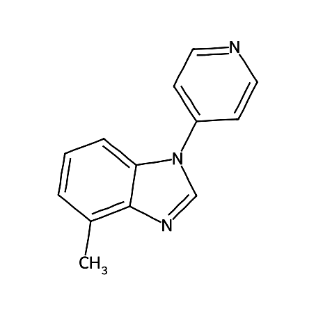 Cc1cccc2c1ncn2-c1ccncc1